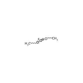 CCCCCCCc1ccc(-c2ccc(OC[C@H]3CC[C@H](CCCCCC)CC3)cc2F)cc1